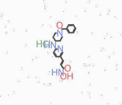 Cl.O=C(C=Cc1ccc(NC2CCN(C(=O)c3ccccc3)CC2)nc1)NO